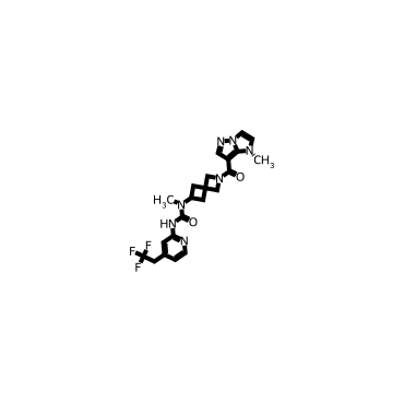 CN(C(=O)Nc1cc(CC(F)(F)F)ccn1)C1CC2(C1)CN(C(=O)c1cnn3ccn(C)c13)C2